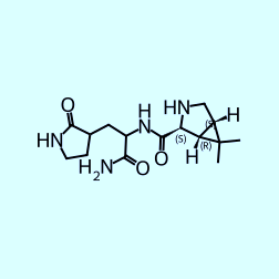 CC1(C)[C@@H]2[C@@H](C(=O)NC(CC3CCNC3=O)C(N)=O)NC[C@@H]21